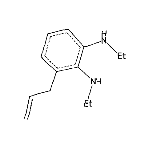 C=CCc1cccc(NCC)c1NCC